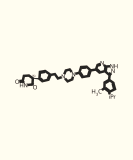 Cc1cc(-c2n[nH]c3ncc(-c4ccc(N5CCN(CCc6ccc([C@@H]7CCC(=O)NC7=O)cc6)CC5)cc4)cc23)ccc1C(C)C